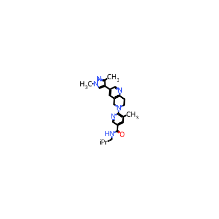 Cc1cc(C(=O)NCC(C)C)cnc1N1CCc2ncc(-c3cn(C)nc3C)cc2C1